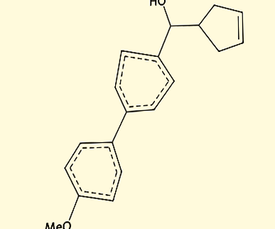 COc1ccc(-c2ccc(C(O)C3CC=CC3)cc2)cc1